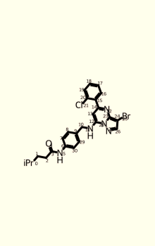 CC(C)CCC(=O)Nc1ccc(CNc2cc(-c3ccccc3Cl)nc3c(Br)cnn23)cc1